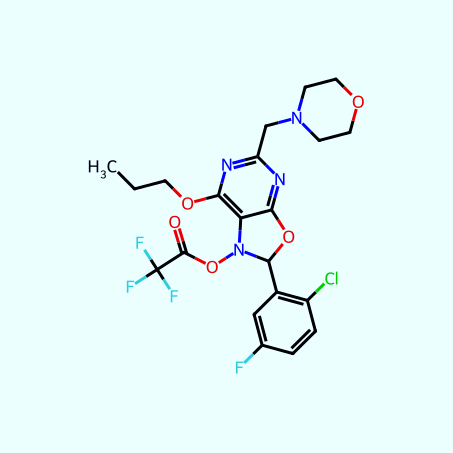 CCCOc1nc(CN2CCOCC2)nc2c1N(OC(=O)C(F)(F)F)C(c1cc(F)ccc1Cl)O2